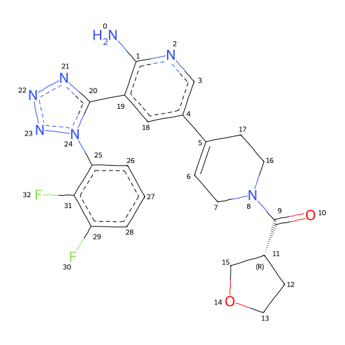 Nc1ncc(C2=CCN(C(=O)[C@@H]3CCOC3)CC2)cc1-c1nnnn1-c1cccc(F)c1F